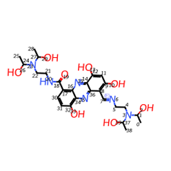 CC(O)N(CC/N=C/c1c(O)cc(O)c2nc3c(C(=O)NCCN(C(C)O)C(C)O)ccc(O)c3nc12)C(C)O